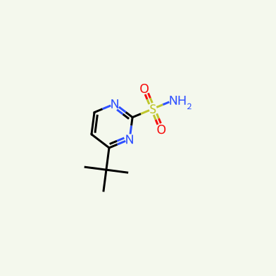 CC(C)(C)c1ccnc(S(N)(=O)=O)n1